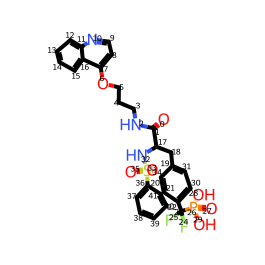 O=C(NCCCOc1ccnc2ccccc12)C(Cc1ccc(C(F)(F)P(=O)(O)O)cc1)NS(=O)(=O)c1ccccc1